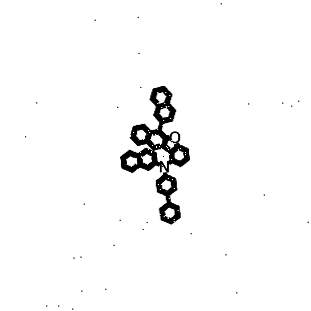 c1ccc(-c2ccc(N(c3ccc4ccccc4c3)c3cccc4oc5c(-c6ccc7ccccc7c6)c6ccccc6cc5c34)cc2)cc1